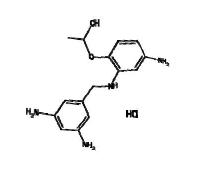 CC(O)Oc1ccc(N)cc1NCc1cc(N)cc(N)c1.Cl